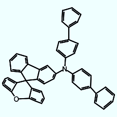 c1ccc(-c2ccc(N(c3ccc(-c4ccccc4)cc3)c3ccc4c(c3)-c3ccccc3C43c4ccccc4Oc4ccccc43)cc2)cc1